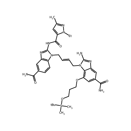 CCn1nc(C)cc1C(=O)Nc1nc2cc(C(N)=O)ccc2n1CC=CCn1c(N)nc2cc(C(N)=O)cc(OCCCO[Si](C)(C)C(C)(C)C)c21